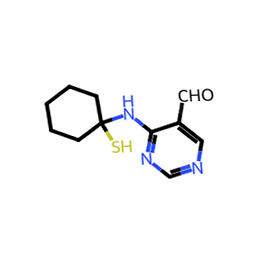 O=Cc1cncnc1NC1(S)CCCCC1